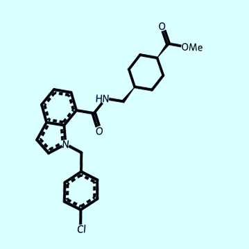 COC(=O)[C@H]1CC[C@@H](CNC(=O)c2cccc3ccn(Cc4ccc(Cl)cc4)c23)CC1